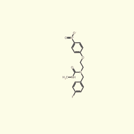 CNC(=O)N(CCOc1ccc([N+](=O)[O-])cc1)Cc1ccc(F)cc1